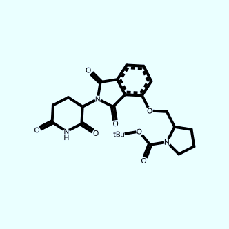 CC(C)(C)OC(=O)N1CCCC1COc1cccc2c1C(=O)N(C1CCC(=O)NC1=O)C2=O